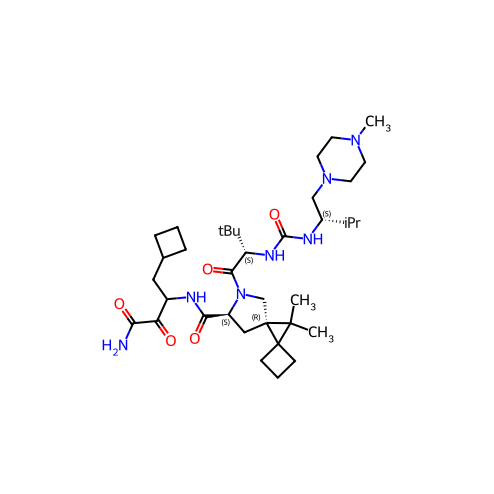 CC(C)[C@@H](CN1CCN(C)CC1)NC(=O)N[C@H](C(=O)N1C[C@]2(C[C@H]1C(=O)NC(CC1CCC1)C(=O)C(N)=O)C(C)(C)C21CCC1)C(C)(C)C